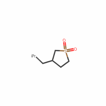 CC(C)CC1CCS(=O)(=O)C1